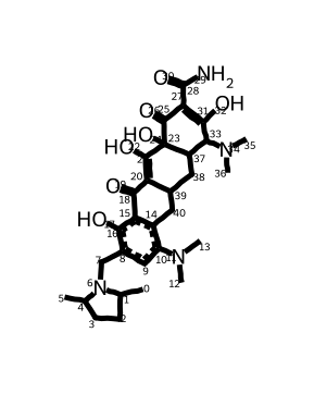 CC1CCC(C)N1Cc1cc(N(C)C)c2c(c1O)C(=O)C1=C(O)C3(O)C(=O)C(C(N)=O)=C(O)C(N(C)C)C3CC1C2